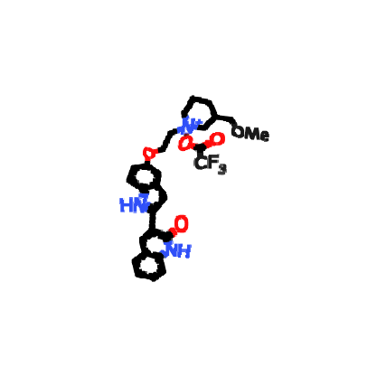 COCC1CCC[N+](CCOc2ccc3[nH]c(-c4cc5ccccc5[nH]c4=O)cc3c2)(OC(=O)C(F)(F)F)C1